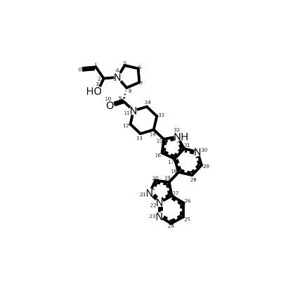 C=CC(O)N1CCC[C@@H]1C(=O)N1CCC(c2cc3c(-c4cnn5ncccc45)ccnc3[nH]2)CC1